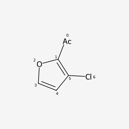 CC(=O)c1occc1Cl